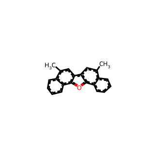 Cc1cc2c3cc(C)c4ccccc4c3oc2c2ccccc12